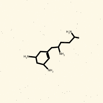 CC(N)CCC(N)CC1=CC(N)CC(N)C1